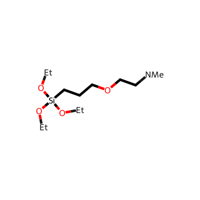 CCO[Si](CCCOCCNC)(OCC)OCC